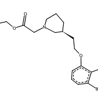 CCOC(=O)CN1CCC[C@@H](CCOc2cccc(Br)c2C)C1